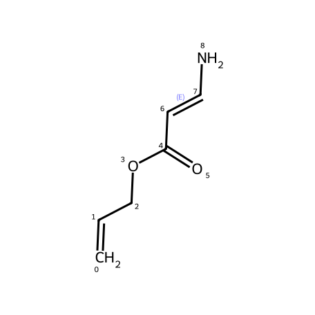 C=CCOC(=O)/C=C/N